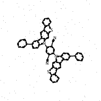 N#Cc1cc(-n2c3ccc(-c4ccccc4)cc3c3cc4c(cc32)sc2ccccc24)c(C#N)cc1-n1c2ccc(-c3ccccc3)cc2c2cc3c(cc21)sc1ccccc13